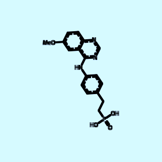 COc1ccc2ncnc(Nc3ccc(CCP(=O)(O)O)cc3)c2c1